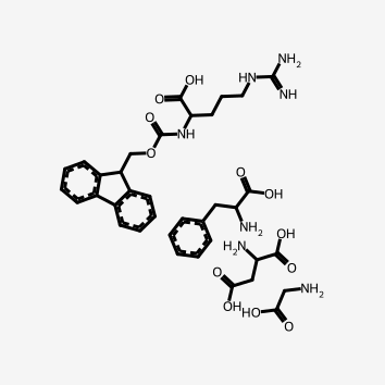 N=C(N)NCCCC(NC(=O)OCC1c2ccccc2-c2ccccc21)C(=O)O.NC(CC(=O)O)C(=O)O.NC(Cc1ccccc1)C(=O)O.NCC(=O)O